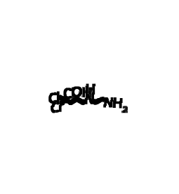 NCCNCC(O)CC(Cl)(Cl)Cl